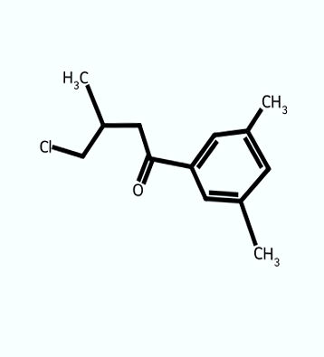 Cc1cc(C)cc(C(=O)CC(C)CCl)c1